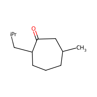 CC(C)CC1CCCC(C)CC1=O